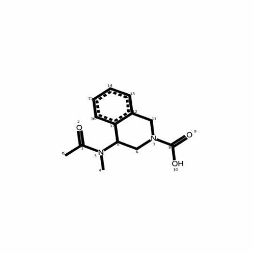 CC(=O)N(C)C1CN(C(=O)O)Cc2ccccc21